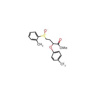 COC(=O)C(CC[S+]([O-])c1ccccc1C)Oc1ccc(C(F)(F)F)cc1